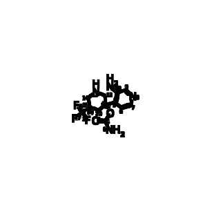 NC(=O)O[C@@]1(c2ccncc2N)CNC[C@H](C(F)(F)F)C1